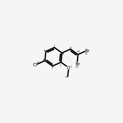 COc1cc(Cl)ccc1C=C(Br)Br